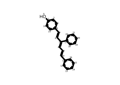 Oc1ccc(C=CC(=CC=Cc2ccccc2)c2ccccc2)cc1